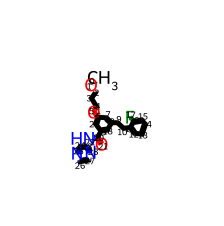 COCCCOc1cc(CCc2ccccc2F)cc(C(=O)Nc2cnccn2)c1